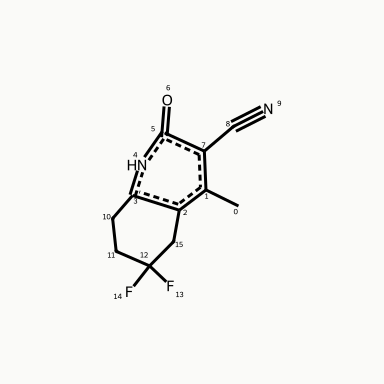 Cc1c2c([nH]c(=O)c1C#N)CCC(F)(F)C2